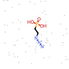 [N-]=[N+]=NCCP(=O)(O)O